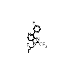 Fc1[c]ccc(-c2nccc3c2nc(C(F)(F)F)n3CC(F)F)c1